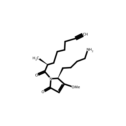 C#CCCCC[C@H](C)C(=O)N1C(=O)C=C(OC)[C@@H]1CCCCN